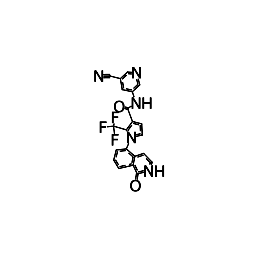 N#Cc1cncc(NC(=O)c2ccn(-c3cccc4c(=O)[nH]ccc34)c2C(F)(F)F)c1